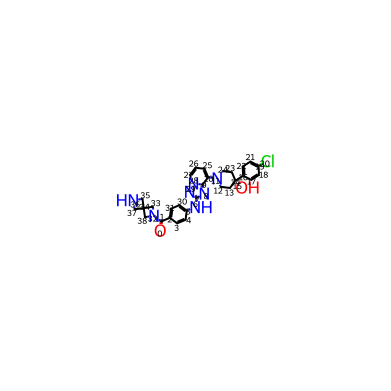 O=C(c1ccc(Nc2nc3c(N4CCC(O)(c5ccc(Cl)cc5)CC4)cccn3n2)cc1)N1CC2(CNC2)C1